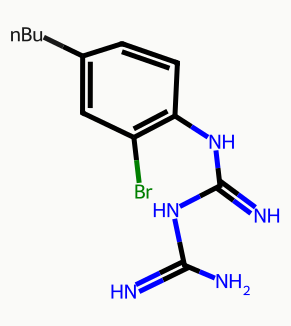 CCCCc1ccc(NC(=N)NC(=N)N)c(Br)c1